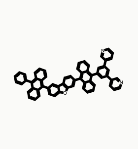 c1ccc(-c2c3ccccc3c(-c3ccc4oc5cc(-c6c7ccccc7c(-c7cc(-c8cccnc8)cc(-c8cccnc8)c7)c7ccccc67)ccc5c4c3)c3ccccc23)cc1